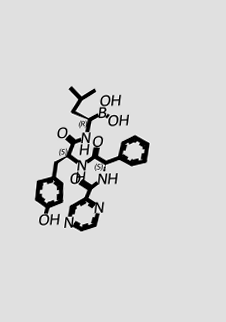 CC(C)C[C@H](NC(=O)[C@H](Cc1ccc(O)cc1)NC(=O)[C@@H](NC(=O)c1cnccn1)c1ccccc1)B(O)O